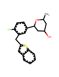 CC1CC(O)CC(c2ccc(F)c(Cc3cc4ccccc4s3)c2)O1